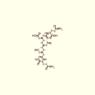 NC(=O)CCC(NC(=O)CN(CC=O)CCN(CC=O)CCN(CC(=O)O)CC(=O)NC(CCC(N)=O)C(=O)O)C(=O)O